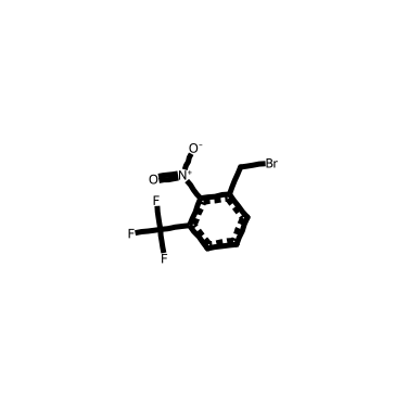 O=[N+]([O-])c1c(CBr)cccc1C(F)(F)F